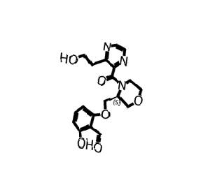 O=Cc1c(O)cccc1OC[C@@H]1COCCN1C(=O)c1nccnc1CCO